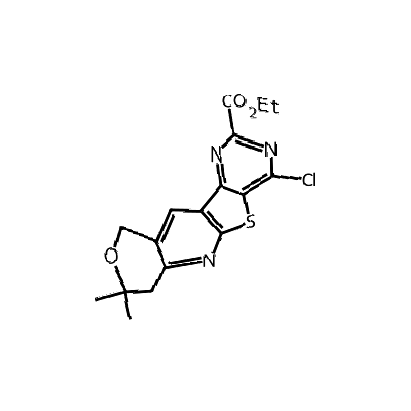 CCOC(=O)c1nc(Cl)c2sc3nc4c(cc3c2n1)COC(C)(C)C4